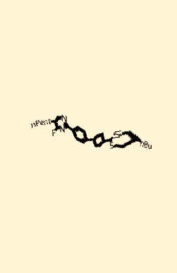 CCCCCc1cnc(-c2ccc(-c3ccc(C4SCC(CCCC)CS4)cc3)cc2)nc1F